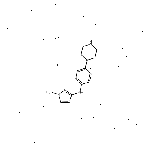 Cl.Cn1ccc(Nc2ccc(N3CCNCC3)cn2)n1